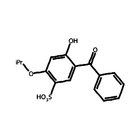 CC(C)Oc1cc(O)c(C(=O)c2ccccc2)cc1S(=O)(=O)O